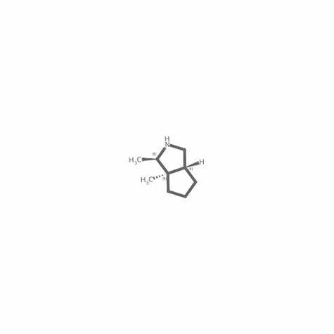 C[C@H]1NC[C@@H]2CCC[C@]21C